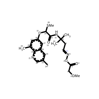 COCC(=O)O/N=C/CC(C)(C)NC(=O)C(Oc1cc(C)c2ncc(I)cc2c1)SC